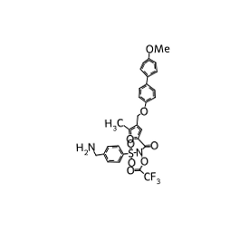 COc1ccc(-c2ccc(OCc3cc(C(=O)N(OC(=O)C(F)(F)F)S(=O)(=O)c4ccc(CN)cc4)oc3C)cc2)cc1